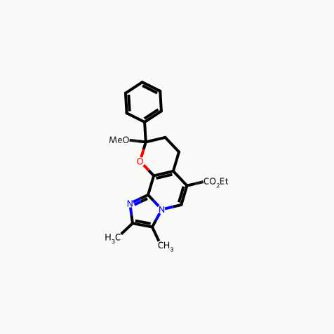 CCOC(=O)c1cn2c(C)c(C)nc2c2c1CCC(OC)(c1ccccc1)O2